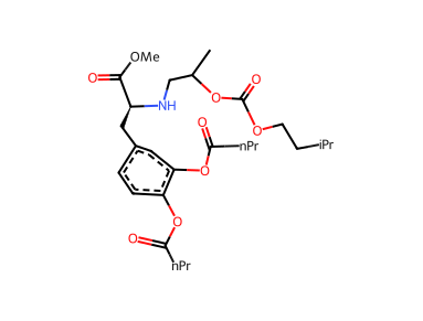 CCCC(=O)Oc1ccc(C[C@H](NCC(C)OC(=O)OCCC(C)C)C(=O)OC)cc1OC(=O)CCC